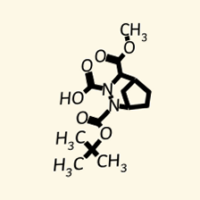 COC(=O)C1C2CCC(C2)N(C(=O)OC(C)(C)C)N1C(=O)O